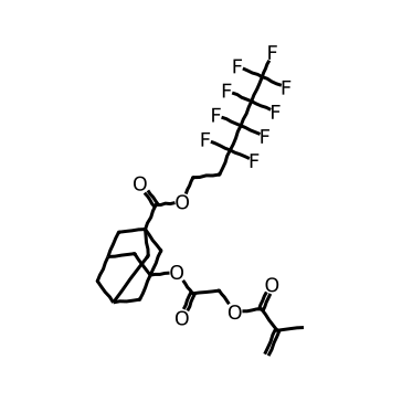 C=C(C)C(=O)OCC(=O)OC12CC3CC(C1)CC(C(=O)OCCC(F)(F)C(F)(F)C(F)(F)C(F)(F)F)(C3)C2